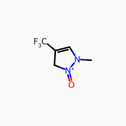 CN1C=C(C(F)(F)F)C[N+]1=O